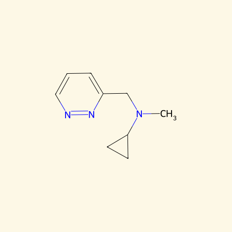 CN(Cc1cccnn1)C1CC1